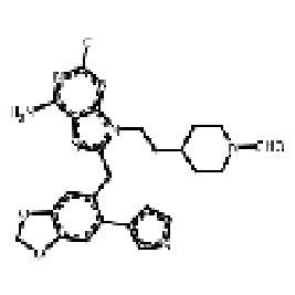 Nc1nc(Cl)nc2c1nc(Cc1cc3c(cc1-c1ccsc1)OCO3)n2CCC1CCN(C=O)CC1